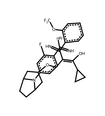 CCCC(=N)c1ccc(N2C3CCC2CC(OC/C(C(=N)c2ccccc2OC(F)(F)F)=C(/O)C2CC2)C3)cc1F